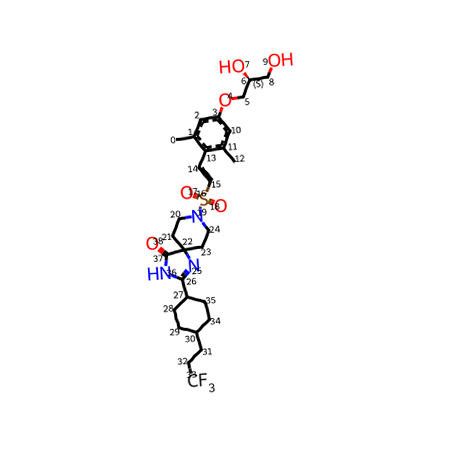 Cc1cc(OC[C@@H](O)CO)cc(C)c1C=CS(=O)(=O)N1CCC2(CC1)N=C(C1CCC(CCC(F)(F)F)CC1)NC2=O